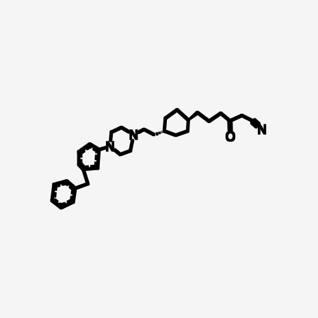 N#CCC(=O)CCC[C@H]1CC[C@H](CCN2CCN(c3cccc(Cc4ccccc4)c3)CC2)CC1